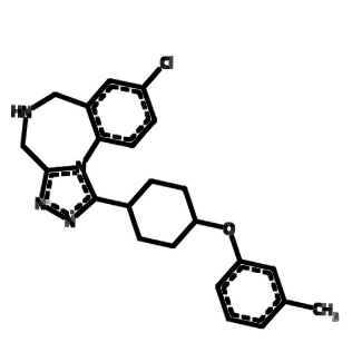 Cc1cccc(OC2CCC(c3nnc4n3-c3ccc(Cl)cc3CNC4)CC2)c1